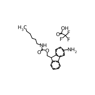 CCCCCCNC(=O)OCC1c2ccccc2-c2cc(N)ccc21.O=C(O)C(F)(F)F